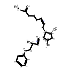 CC(C)OC(=O)CCC/C=C\C[C@@H]1[C@@H](/C=C/C(O)COc2ccccc2)[C@H](O)C[C@H]1O